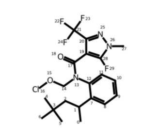 CC(CC(C)(C)C)c1ccccc1N(COCl)C(=O)c1c(C(F)(F)F)nn(C)c1F